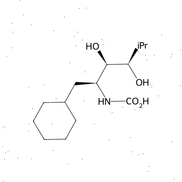 CC(C)[C@@H](O)[C@H](O)[C@H](CC1CCCCC1)NC(=O)O